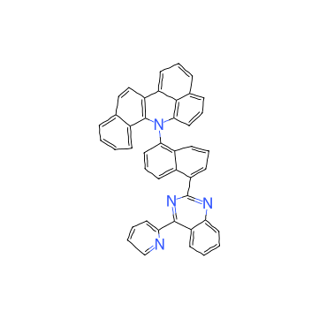 c1ccc(-c2nc(-c3cccc4c(N5c6c(ccc7ccccc67)-c6cccc7cccc5c67)cccc34)nc3ccccc23)nc1